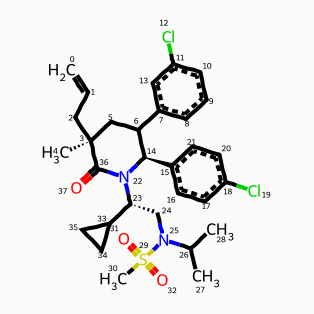 C=CC[C@@]1(C)CC(c2cccc(Cl)c2)[C@@H](c2ccc(Cl)cc2)N([C@H](CN(C(C)C)S(C)(=O)=O)C2CC2)C1=O